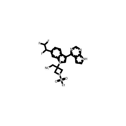 CCS(=O)(=O)N1CC(CC#N)(n2cc(-c3ncnc4[nH]ccc34)c3ccc(C(F)C(F)F)cc32)C1